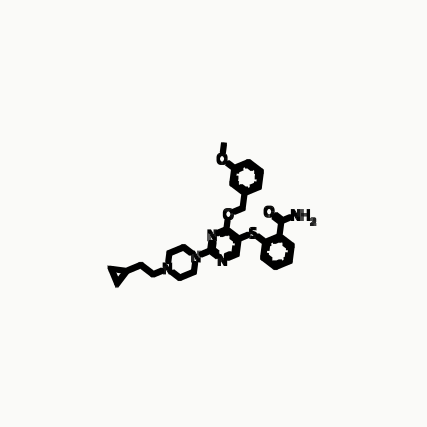 COc1cccc(COc2nc(N3CCN(CCC4CC4)CC3)ncc2Sc2ccccc2C(N)=O)c1